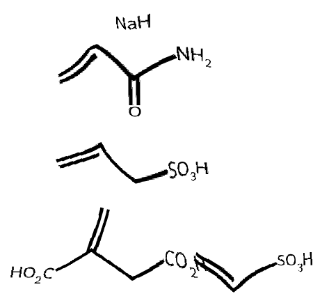 C=C(CC(=O)O)C(=O)O.C=CC(N)=O.C=CCS(=O)(=O)O.C=CS(=O)(=O)O.[NaH]